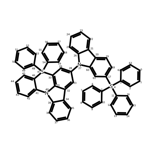 c1ccc(S(c2ccccc2)(c2ccccc2)c2ccc3c4ccccc4n(-c4cc5c6c(c4)c4ccccc4n6-c4ccccc4S5(c4ccccc4)c4ccccc4)c3c2)cc1